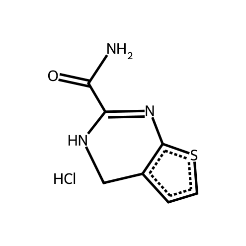 Cl.NC(=O)C1=Nc2sccc2CN1